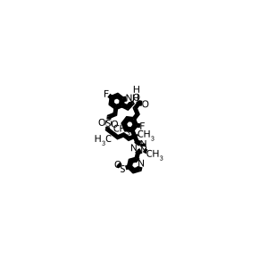 Cn1nc([C@](C)(CCCC(C)(C)CS(=O)(=O)CCc2cc(F)cc3[nH]ccc23)c2cccc(CCC(=O)O)c2F)nc1-c1cc([S+]=O)ccn1